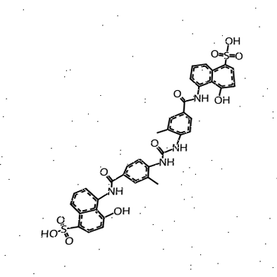 Cc1cc(C(=O)Nc2cccc3c(S(=O)(=O)O)ccc(O)c23)ccc1NC(=O)Nc1ccc(C(=O)Nc2cccc3c(S(=O)(=O)O)ccc(O)c23)cc1C